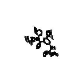 CN(C(=O)c1cc(NC(=O)C(C)(C)C)cc(C(F)(F)F)c1)c1cccnc1